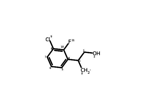 [CH2]C(CO)c1cccc(Cl)c1F